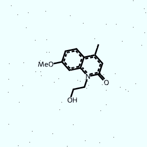 COc1ccc2c(C)cc(=O)n(CCO)c2c1